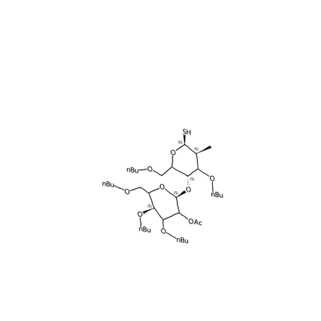 CCCCOCC1O[C@@H](S)[C@@H](C)C(OCCCC)[C@@H]1O[C@@H]1OC(COCCCC)[C@H](OCCCC)C(OCCCC)C1OC(C)=O